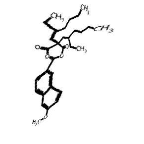 CCCCC(CC)CC1(CC(CC)CCCC)C(=O)OC(c2ccc3cc(OC)ccc3c2)OC1=O